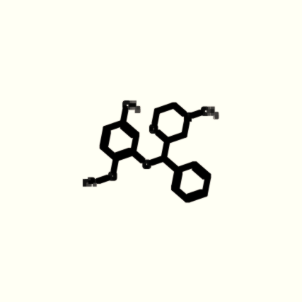 CCCOc1ccc(C)cc1OC(c1ccccc1)C1CN(C)CCO1